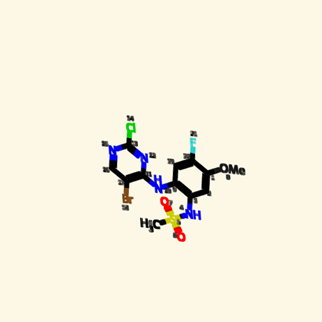 COc1cc(NS(C)(=O)=O)c(Nc2nc(Cl)ncc2Br)cc1F